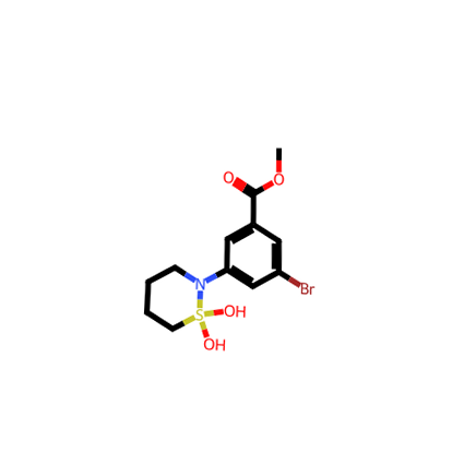 COC(=O)c1cc(Br)cc(N2CCCCS2(O)O)c1